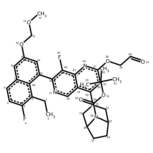 CCc1c(F)ccc2cc(OCOC)cc(-c3ncc4c(N5CC6CCC(C5)N6C(=O)OC(C)(C)C)nc(OCC=O)nc4c3F)c12